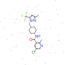 Cc1cc(C(F)(F)F)n(CC2CCC(NC(=O)c3cc(Cl)cnc3C)CC2)n1